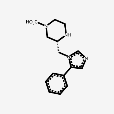 O=C(O)N1CCN[C@H](Cn2cncc2-c2ccccc2)C1